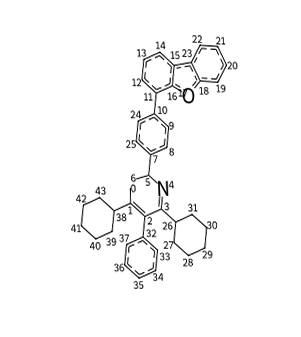 C/C(=C(\C(=N/C(C)c1ccc(-c2cccc3c2oc2ccccc23)cc1)C1CCCCC1)c1ccccc1)C1CCCCC1